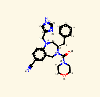 N#Cc1ccc2c(c1)CN(C(=O)N1CCOCC1)[C@H](Cc1ccccc1)CN2Cc1c[nH]cn1